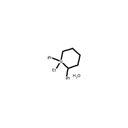 CC[Si]1(C(C)C)CCCCC1C(C)C.O